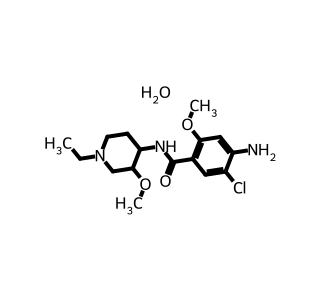 CCN1CCC(NC(=O)c2cc(Cl)c(N)cc2OC)C(OC)C1.O